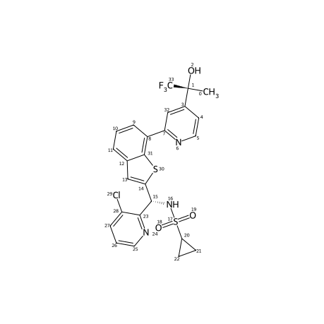 C[C@@](O)(c1ccnc(-c2cccc3cc([C@H](NS(=O)(=O)C4CC4)c4ncccc4Cl)sc23)c1)C(F)(F)F